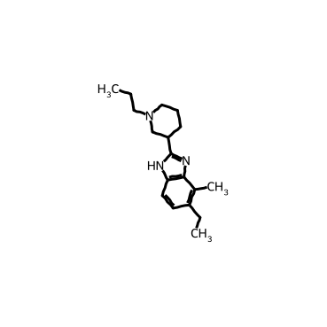 CCCN1CCCC(c2nc3c(C)c(CC)ccc3[nH]2)C1